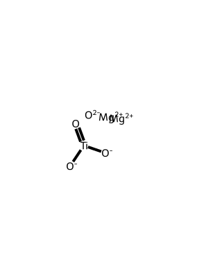 [Mg+2].[Mg+2].[O-2].[O]=[Ti]([O-])[O-]